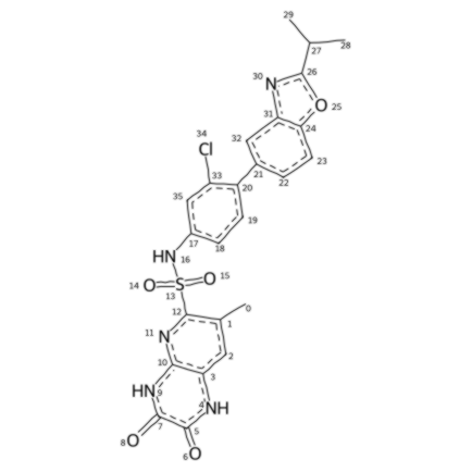 Cc1cc2[nH]c(=O)c(=O)[nH]c2nc1S(=O)(=O)Nc1ccc(-c2ccc3oc(C(C)C)nc3c2)c(Cl)c1